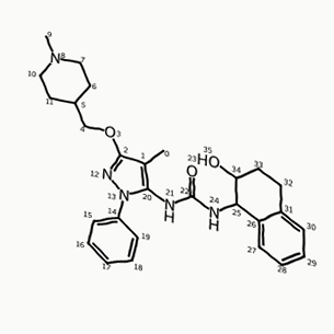 Cc1c(OCC2CCN(C)CC2)nn(-c2ccccc2)c1NC(=O)NC1c2ccccc2CCC1O